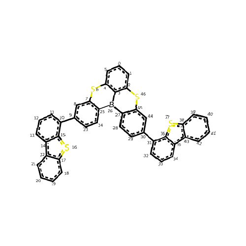 c1cc2c3c(c1)Sc1cc(-c4cccc5c4sc4ccccc45)ccc1B3c1ccc(-c3cccc4c3sc3ccccc34)cc1S2